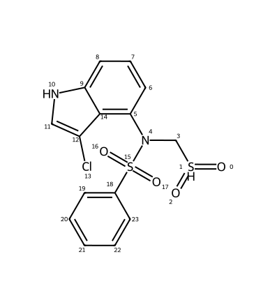 O=[SH](=O)CN(c1cccc2[nH]cc(Cl)c12)S(=O)(=O)c1ccccc1